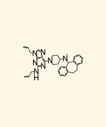 C=CCNc1nc(N2CCC(N(C)C3c4ccccc4CCc4ccccc43)CC2)c2ncn(CC=C)c2n1